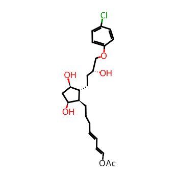 CC(=O)O/C=C/C=C/CCC[C@@H]1[C@@H](CC[C@@H](O)COc2ccc(Cl)cc2)[C@H](O)C[C@@H]1O